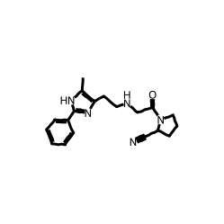 Cc1[nH]c(-c2ccccc2)nc1CCNCC(=O)N1CCCC1C#N